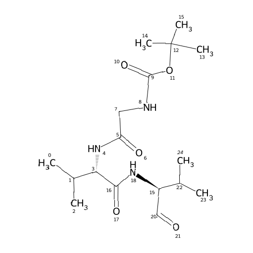 CC(C)[C@H](NC(=O)CNC(=O)OC(C)(C)C)C(=O)N[C@H]([C]=O)C(C)C